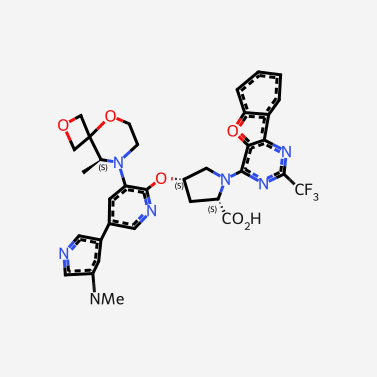 CNc1cncc(-c2cnc(O[C@H]3C[C@@H](C(=O)O)N(c4nc(C(F)(F)F)nc5c4oc4ccccc45)C3)c(N3CCOC4(COC4)[C@@H]3C)c2)c1